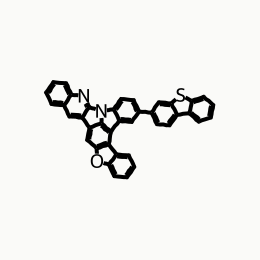 c1ccc2nc3c(cc2c1)c1cc2oc4ccccc4c2c2c4cc(-c5ccc6c(c5)sc5ccccc56)ccc4n3c12